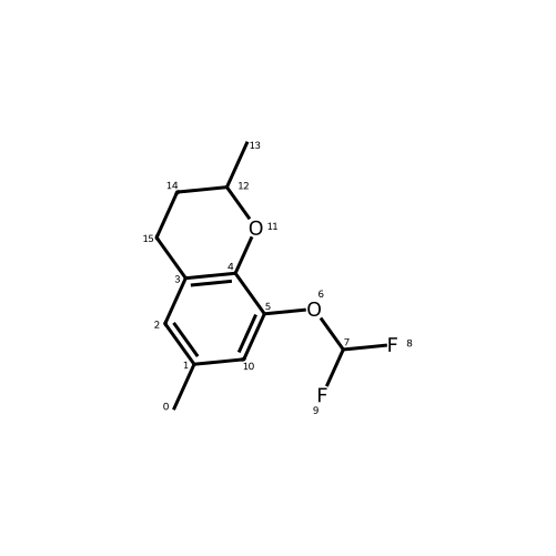 Cc1cc2c(c(OC(F)F)c1)OC(C)CC2